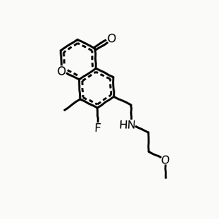 COCCNCc1cc2c(=O)ccoc2c(C)c1F